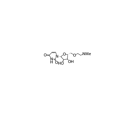 CNCCOC[C@H]1O[C@@H](n2ccc(=O)[nH]c2=O)[C@H](O)[C@@H]1O